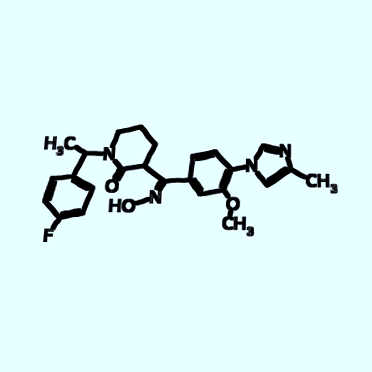 COc1cc(C(=NO)C2CCCN(C(C)c3ccc(F)cc3)C2=O)ccc1-n1cnc(C)c1